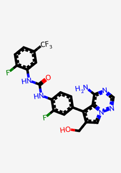 Nc1ncnn2cc(CO)c(-c3ccc(NC(=O)Nc4cc(C(F)(F)F)ccc4F)c(F)c3)c12